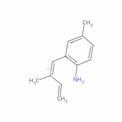 C=C/C(C)=C\c1cc(C)ccc1N